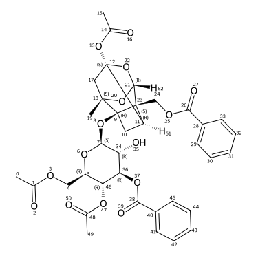 CC(=O)OC[C@H]1O[C@@H](O[C@@]23C[C@H]4[C@@]5(OC(C)=O)C[C@]2(C)O[C@H](O5)[C@]43COC(=O)c2ccccc2)[C@H](O)[C@@H](OC(=O)c2ccccc2)[C@@H]1OC(C)=O